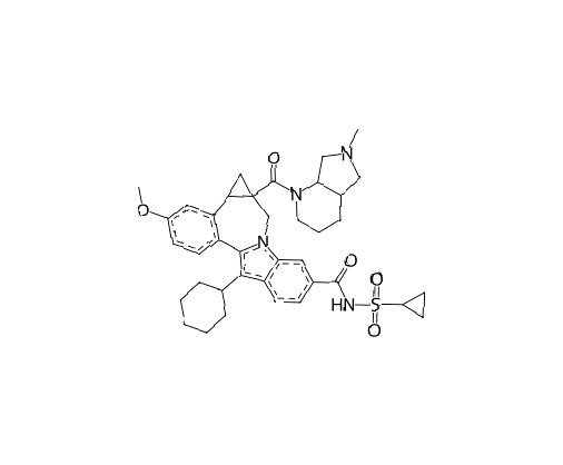 COc1ccc2c(c1)C1CC1(C(=O)N1CCCC3CN(C)CC31)Cn1c-2c(C2CCCCC2)c2ccc(C(=O)NS(=O)(=O)C3CC3)cc21